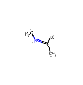 [CH2]/C(CC)=N/C